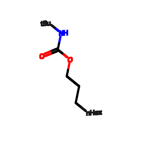 CCCCCCCCCOC(=O)NC(C)(C)C